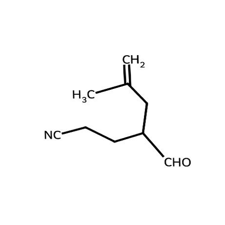 C=C(C)CC(C=O)CCC#N